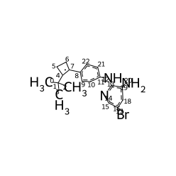 CC(C)(C)C1CC[C]1c1ccc(Nc2ncc(Br)cc2N)cc1